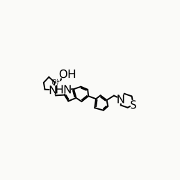 OC[C@H]1CCCN1Cc1cc2cc(-c3cccc(CN4CCSCC4)c3)ccc2[nH]1